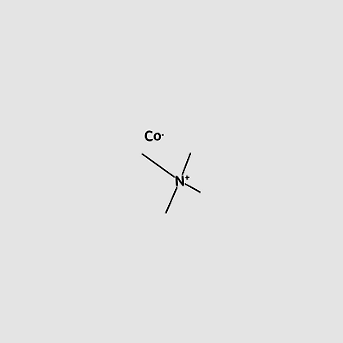 C[N+](C)(C)C.[Co]